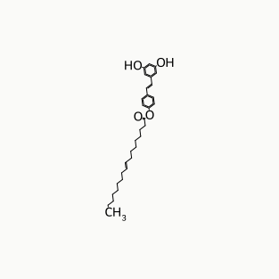 CCCCCCCCC=CCCCCCCCC(=O)Oc1ccc(C=Cc2cc(O)cc(O)c2)cc1